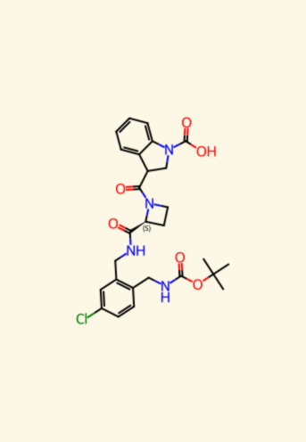 CC(C)(C)OC(=O)NCc1ccc(Cl)cc1CNC(=O)[C@@H]1CCN1C(=O)C1CN(C(=O)O)c2ccccc21